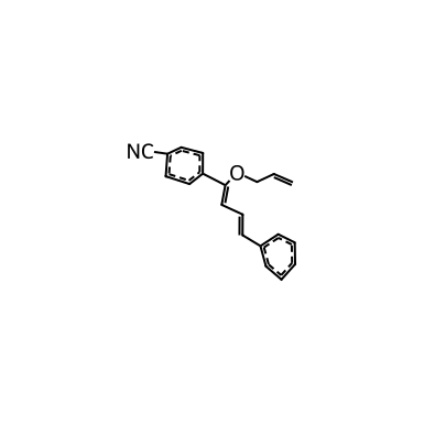 C=CCOC(=CC=Cc1ccccc1)c1ccc(C#N)cc1